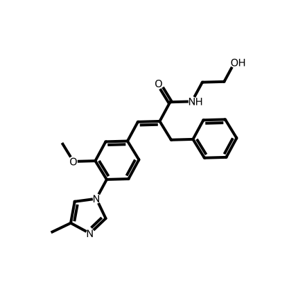 COc1cc(/C=C(\Cc2ccccc2)C(=O)NCCO)ccc1-n1cnc(C)c1